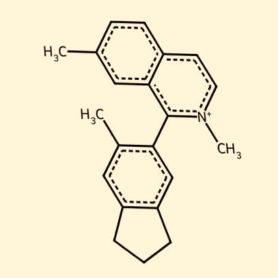 Cc1ccc2cc[n+](C)c(-c3cc4c(cc3C)CCC4)c2c1